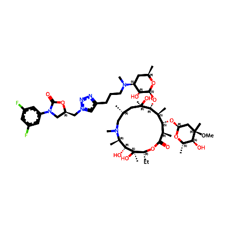 CC[C@H]1OC(=O)[C@H](C)[C@@H](O[C@H]2C[C@@](C)(OC)[C@@H](O)[C@H](C)O2)[C@H](C)[C@@H](O[C@@H]2O[C@H](C)C[C@H](N(C)CCCc3cn(C[C@H]4CN(c5cc(F)cc(F)c5)C(=O)O4)nn3)[C@H]2O)[C@](C)(O)C[C@@H](C)CN(C)[C@H](C)[C@@H](O)[C@]1(C)O